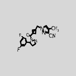 Cc1cn(CC23CC(C(=O)N4N=CCC4c4cc(F)cc(F)c4)(C2)C3)nc1C#N